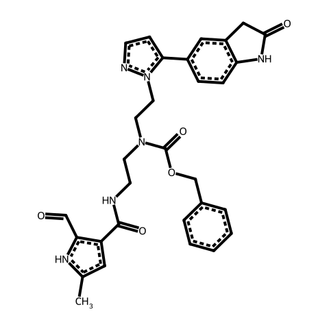 Cc1cc(C(=O)NCCN(CCn2nccc2-c2ccc3c(c2)CC(=O)N3)C(=O)OCc2ccccc2)c(C=O)[nH]1